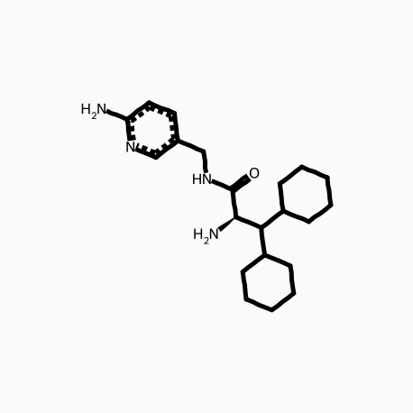 Nc1ccc(CNC(=O)[C@H](N)C(C2CCCCC2)C2CCCCC2)cn1